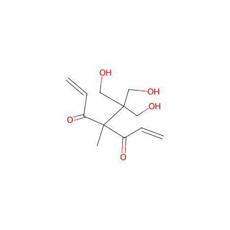 C=CC(=O)C(C)(C(=O)C=C)C(CO)(CO)CO